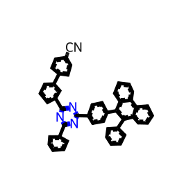 N#Cc1ccc(-c2cccc(-c3nc(-c4ccccc4)nc(-c4ccc(-c5c(-c6ccccc6)c6ccccc6c6ccccc56)cc4)n3)c2)cc1